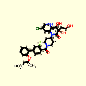 C[C@H](CC(=O)O)Oc1ccccc1-c1ccc(C(=O)N2CCC(N3C(=O)C(O)(CCO)C(O)=C4NC=C(Cl)C=C43)CC2)c(F)c1